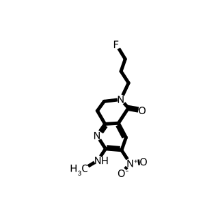 CNc1nc2c(cc1[N+](=O)[O-])C(=O)N(CCCF)CC2